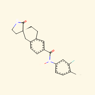 COc1ccc(N(O)C(=O)c2ccc3c(c2)CC[C@]2(CCNC2=O)C3)cc1F